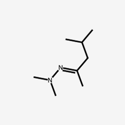 CC(CC(C)C)=NN(C)C